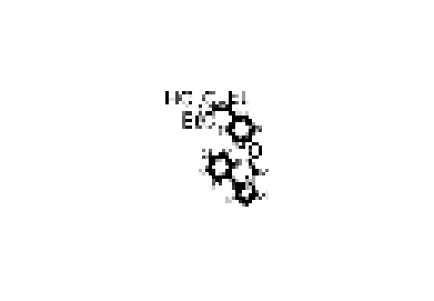 CCOC(C(=O)O)C(CC)c1ccc(OCCn2cccc2-c2ccccc2)cc1